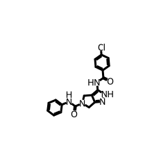 O=C(Nc1[nH]nc2c1CN(C(=O)Nc1ccccc1)C2)c1ccc(Cl)cc1